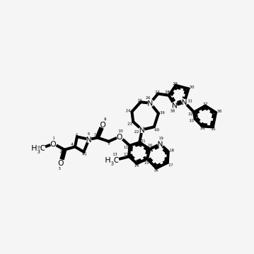 COC(=O)C1CN(C(=O)COc2c(C)cc3cccnc3c2N2CCCN(Cc3ccn(-c4ccccc4)n3)CC2)C1